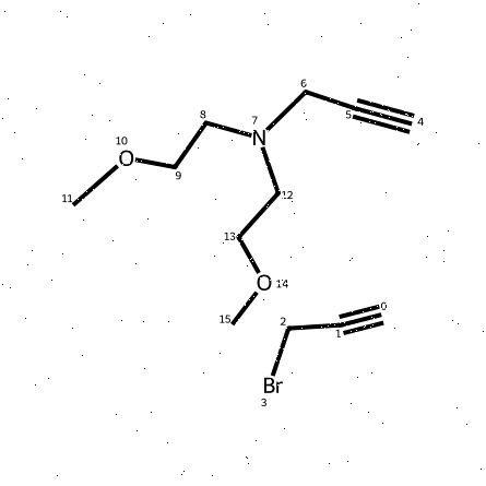 C#CCBr.C#CCN(CCOC)CCOC